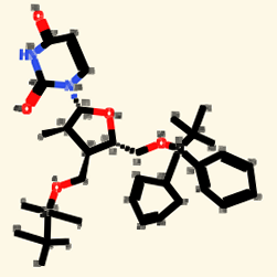 C[C@@H]1[C@H](CO[Si](C)(C)C(C)(C)C)[C@@H](CO[Si](c2ccccc2)(C2C=CC=CC2)C(C)(C)C)O[C@H]1n1ccc(=O)[nH]c1=O